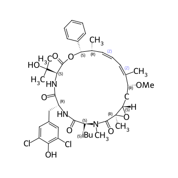 CC[C@H](C)[C@H]1C(=O)N[C@H](Cc2cc(Cl)c(O)c(Cl)c2)C(=O)N[C@@H](C(C)(C)O)C(=O)O[C@H](c2ccccc2)[C@H](C)/C=C\C=C(\C)[C@H](OC)C[C@@H]2O[C@@]2(C)C(=O)N1C